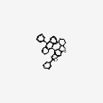 C1=Cc2c(c(-c3c4c(cc5oc(-c6ccccc6)cc35)SC3CC=CCC43)c3ccccc3c2-c2ccccc2)CC1